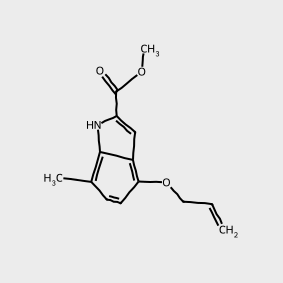 C=CCOc1ccc(C)c2[nH]c(C(=O)OC)cc12